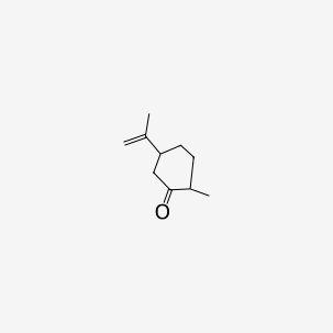 C=C(C)C1CCC(C)C(=O)C1